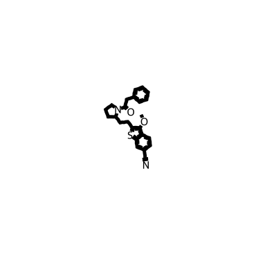 COc1c(CCC2CCCN2C(=O)Cc2ccccc2)sc2cc(C#N)ccc12